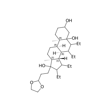 CCC1C(CC)C2(O)CC(O)CC[C@]2(C)[C@@H]2CC[C@@]3(C)[C@@H](C(CC)C(CC)C3(O)CCC3OCCO3)[C@H]12